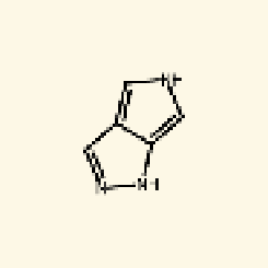 c1n[nH]c2c[nH]cc12